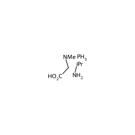 CC(C)N.CNCC(=O)O.P